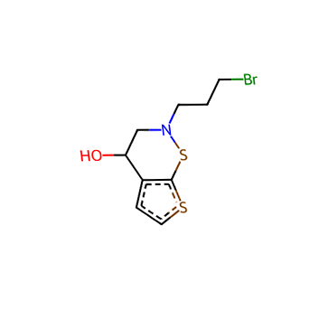 OC1CN(CCCBr)Sc2sccc21